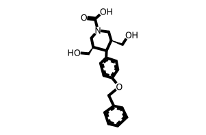 O=C(O)N1C[C@@H](CO)C(c2ccc(OCc3ccccc3)cc2)[C@@H](CO)C1